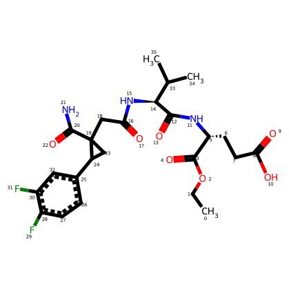 CCOC(=O)[C@@H](CCC(=O)O)NC(=O)[C@@H](NC(=O)CC1(C(N)=O)CC1c1ccc(F)c(F)c1)C(C)C